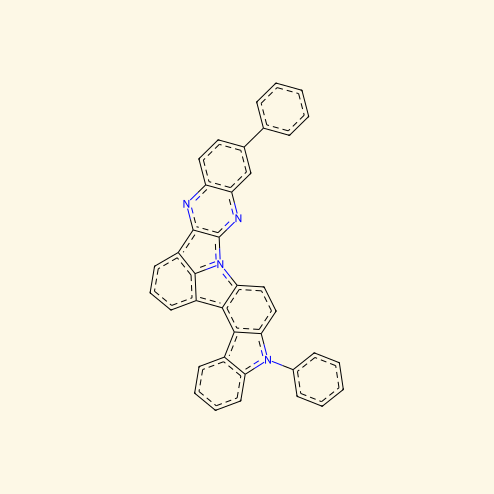 c1ccc(-c2ccc3nc4c5cccc6c7c8c9ccccc9n(-c9ccccc9)c8ccc7n(c4nc3c2)c56)cc1